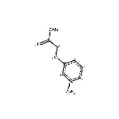 COC(=O)COc1cccc([AsH2])c1